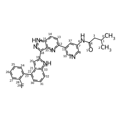 CC(C)CC(=O)Nc1cncc(-c2ccc3[nH]nc(-c4cc5c(-c6ccccc6F)cccc5[nH]4)c3n2)c1